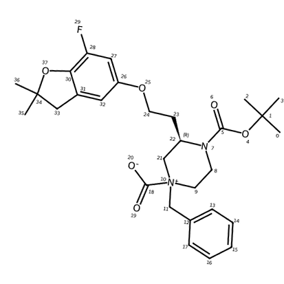 CC(C)(C)OC(=O)N1CC[N+](Cc2ccccc2)(C(=O)[O-])C[C@H]1CCOc1cc(F)c2c(c1)CC(C)(C)O2